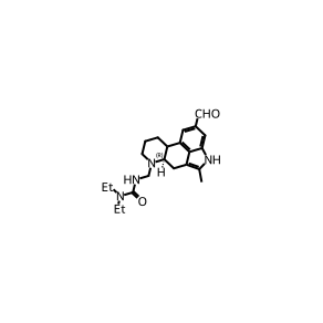 CCN(CC)C(=O)NCN1CCCC2c3cc(C=O)cc4[nH]c(C)c(c34)C[C@H]21